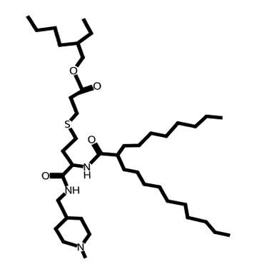 CCCCCCCCCCC(CCCCCCCC)C(=O)NC(CCSCCC(=O)OCC(CC)CCCC)C(=O)NCC1CCN(C)CC1